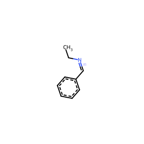 CC/N=C\c1ccccc1